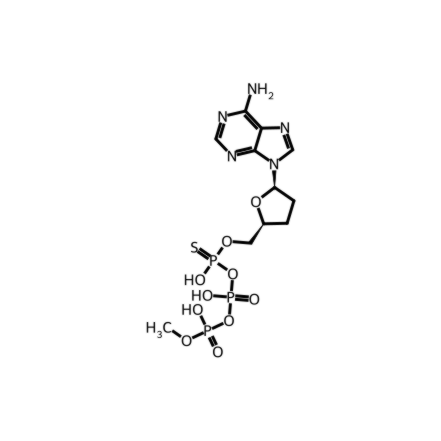 COP(=O)(O)OP(=O)(O)OP(O)(=S)OC[C@@H]1CC[C@H](n2cnc3c(N)ncnc32)O1